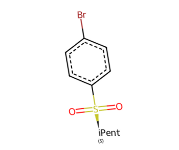 CCC[C@H](C)S(=O)(=O)c1ccc(Br)cc1